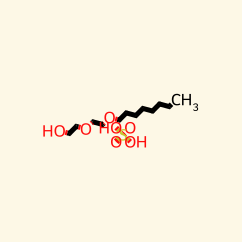 CCCCCCCCOCCOCCO.O=S(=O)(O)O